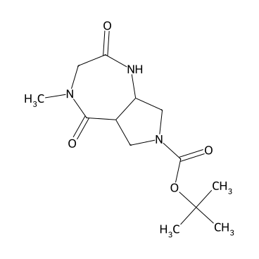 CN1CC(=O)NC2CN(C(=O)OC(C)(C)C)CC2C1=O